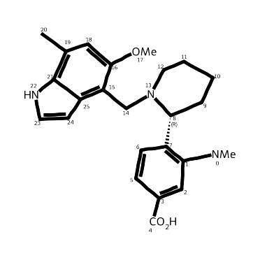 CNc1cc(C(=O)O)ccc1[C@H]1CCCCN1Cc1c(OC)cc(C)c2[nH]ccc12